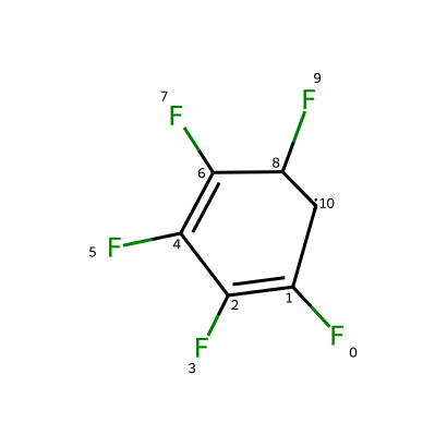 FC1=C(F)C(F)=C(F)C(F)[CH]1